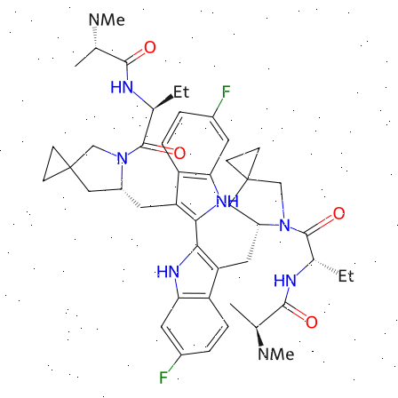 CC[C@H](NC(=O)[C@H](C)NC)C(=O)N1CC2(CC2)C[C@H]1Cc1c(-c2[nH]c3cc(F)ccc3c2C[C@@H]2CC3(CC3)CN2C(=O)[C@H](CC)NC(=O)[C@H](C)NC)[nH]c2cc(F)ccc12